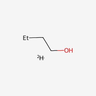 CCCCO.[2H]